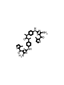 Cc1ccsc1C(=O)c1sc(Nc2ccc(C(C)C(=O)C(C)c3ccc(Nc4nc(N)c(C(=O)c5sccc5C)s4)cc3)cc2)nc1N